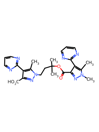 Cc1c(-c2ncccn2)c(C(=O)OC(C)(C)CCn2nc(C(=O)O)c(-c3ncccn3)c2C)nn1C